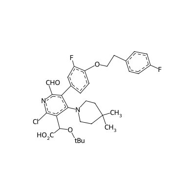 CC1(C)CCN(c2c(-c3ccc(OCCc4ccc(F)cc4)c(F)c3)c(C=O)nc(Cl)c2C(OC(C)(C)C)C(=O)O)CC1